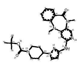 CN1C(=O)c2ccccc2N(C)c2cc(Nc3ccn(C4CCN(C(=O)OC(C)(C)C)CC4)n3)ncc21